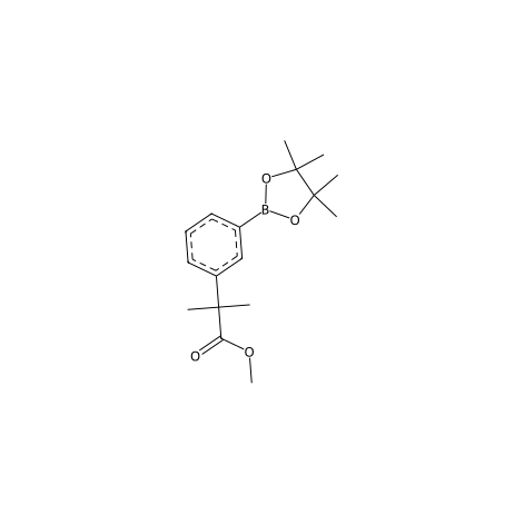 COC(=O)C(C)(C)c1cccc(B2OC(C)(C)C(C)(C)O2)c1